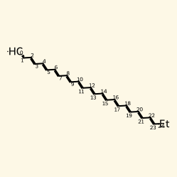 [CH]=CC=CC=CC=CC=CC=CC=CC=CC=CC=CC=CC=CCC